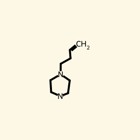 C=CCCN1CC[N]CC1